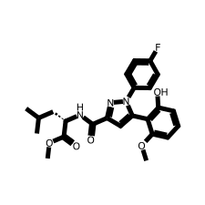 COC(=O)[C@H](CC(C)C)NC(=O)c1cc(-c2c(O)cccc2OC)n(C2=C=C=C(F)C=C2)n1